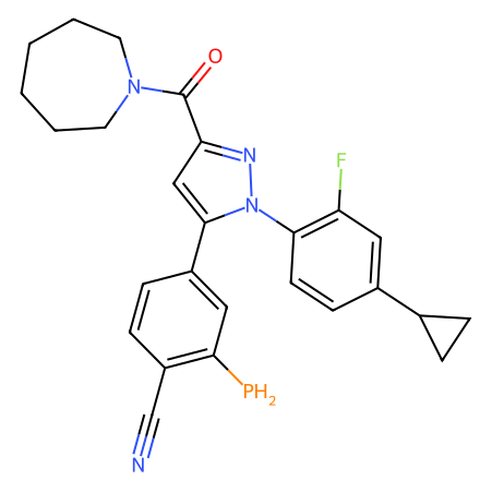 N#Cc1ccc(-c2cc(C(=O)N3CCCCCC3)nn2-c2ccc(C3CC3)cc2F)cc1P